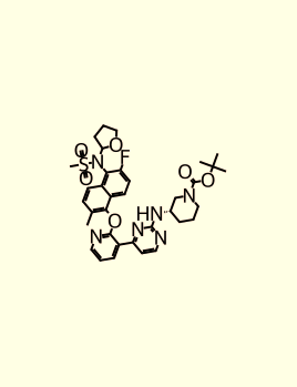 Cc1ccc2c(N(C3CCCO3)S(C)(=O)=O)c(F)ccc2c1Oc1ncccc1-c1ccnc(N[C@H]2CCCN(C(=O)OC(C)(C)C)C2)n1